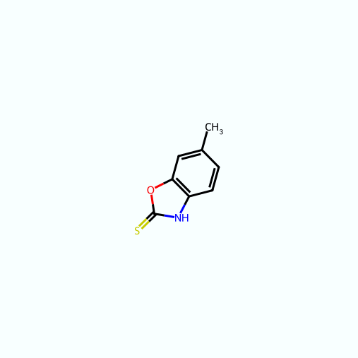 Cc1ccc2[nH]c(=S)oc2c1